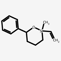 C=C[Si]1(C)CCCC(c2ccccc2)O1